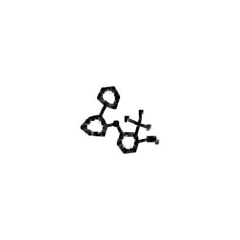 Nc1cccc(Oc2ccccc2-c2ccccc2)c1C(F)(F)F